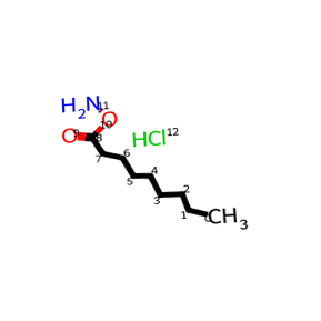 CCCCCCCCC(=O)ON.Cl